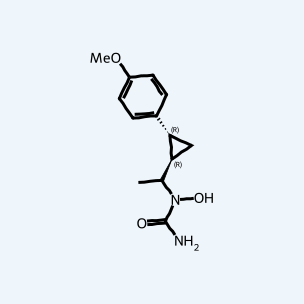 COc1ccc([C@@H]2C[C@H]2C(C)N(O)C(N)=O)cc1